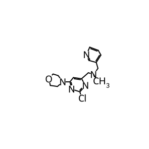 CN(Cc1cccnc1)Cc1cc(N2CCOCC2)nc(Cl)n1